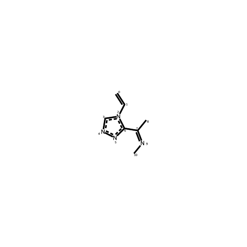 C=Cn1cnnc1/C(C)=N\C